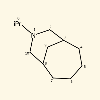 CC(C)N1CC2CCCCC(C2)C1